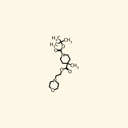 CC(C)(C)OC(=O)N1CCC(C)(C(=O)OCCN2CCOCC2)CC1